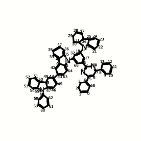 C1=CCCC(c2cc(-c3ccccc3)nc(-c3cc(N4c5ccccc5C5C=CCCC54)cc(-n4c5ccccc5c5cc(C6=CC=C7C(C6)c6ccccc6N7c6ccccc6)ccc54)c3)n2)=C1